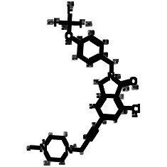 CN1CCN(CC#Cc2cc(Cl)c3c(c2)CN(Cc2ccc(OC(F)(F)F)cc2)C3=O)CC1